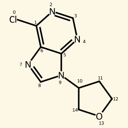 Clc1ncnc2c1ncn2C1CCOC1